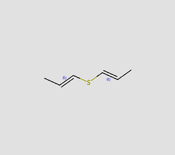 C/C=C/S/C=C/C